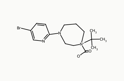 CC(C)(C)[N+]1(C(=O)[O-])CCCN(c2ccc(Br)cn2)CC1